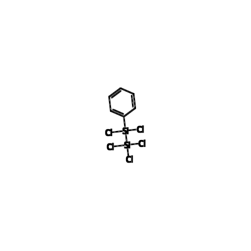 Cl[Si](Cl)(Cl)[Si](Cl)(Cl)c1ccccc1